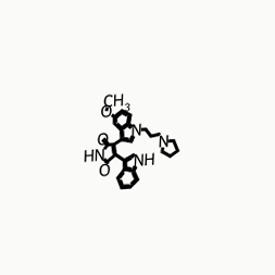 COc1ccc2c(c1)c(C1=C(c3c[nH]c4ccccc34)C(=O)NC1=O)cn2CCCN1CCCC1